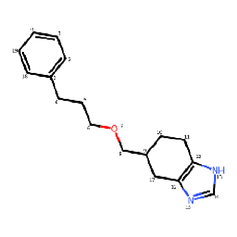 c1ccc(CCCOCC2CCc3[nH]cnc3C2)cc1